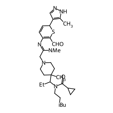 CCC(C)CCN(C(=O)C1CC1)C(CC)C1(C)CCN(C/C(=N/C2=C(C=O)SC(c3cn[nH]c3C)C=C2)NC)CC1